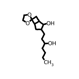 CCCCC(O)CCC1CC2C(CC23OCCO3)C1O